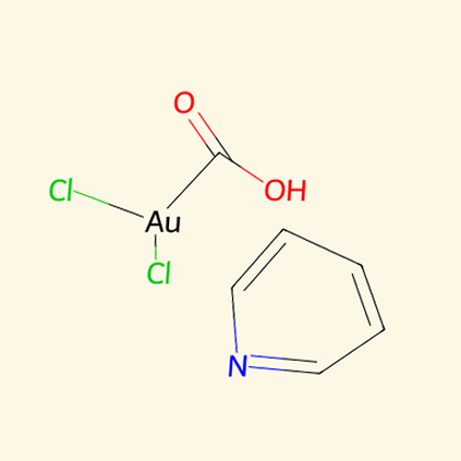 O=[C](O)[Au]([Cl])[Cl].c1ccncc1